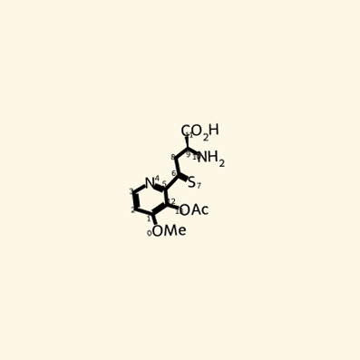 COc1ccnc(C(=S)C[C@H](N)C(=O)O)c1OC(C)=O